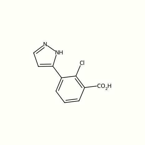 O=C(O)c1cccc(-c2ccn[nH]2)c1Cl